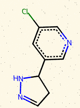 Clc1cncc(C2CC=NN2)c1